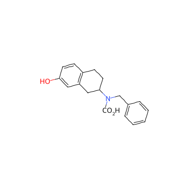 O=C(O)N(Cc1ccccc1)C1CCc2ccc(O)cc2C1